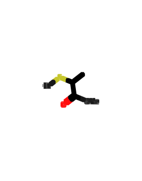 C[CH]SC(C)C(=O)OC